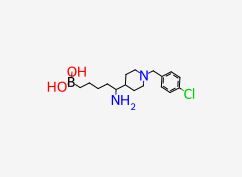 NC(CCCCB(O)O)C1CCN(Cc2ccc(Cl)cc2)CC1